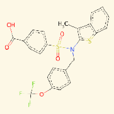 Cc1c(N(Cc2ccc(OC(F)(F)F)cc2)S(=O)(=O)c2ccc(C(=O)O)cc2)sc2ccccc12